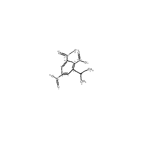 CC(C)c1cc([N+](=O)[O-])cc([N+](=O)[O-])c1[N+](=O)[O-]